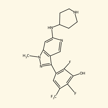 Cn1nc(-c2cc(C(F)(F)F)c(F)c(O)c2F)c2cnc(NC3CCNCC3)cc21